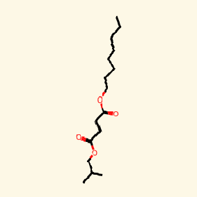 CCCCCCCCOC(=O)CCC(=O)OCC(C)C